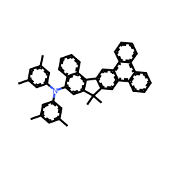 Cc1cc(C)cc(N(c2cc(C)cc(C)c2)c2cc3c(c4ccccc24)-c2cc4c5ccccc5c5ccccc5c4cc2C3(C)C)c1